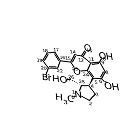 CN1CC[C@H](c2c(O)cc(O)c3c(=O)cc(-c4cccc(Br)c4)oc23)[C@H]1CO